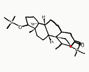 CC1CC(=O)CC2CC[C@@H]3[C@@H](CC[C@]4(C)C(O[Si](C)(C)C)CC[C@@H]34)[C@@]12CO[Si](C)(C)C